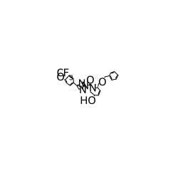 O=C(N1C[C@H](O)C=C[C@@H]1COCc1ccccc1)n1ncc(-c2ccc(OC(F)(F)F)cc2)n1